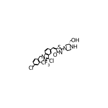 O=C1N=C(N2CCN[C@@H](CO)C2)SC1=Cc1ccc2c(c1)c(Cl)nn2Cc1ccc(Cl)cc1C(F)(F)F